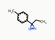 CCC1(c2ccc(C)cc2)N=N1